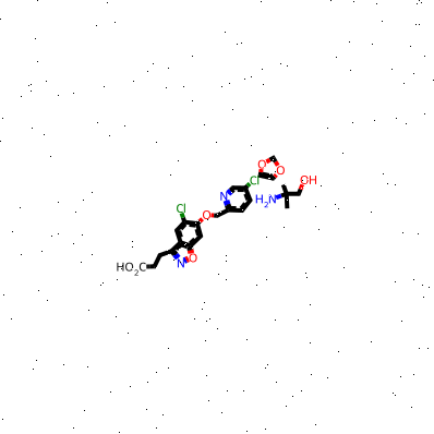 C1=COCO1.CC(C)(N)CO.O=C(O)CCc1noc2cc(OCc3ccc(Cl)cn3)c(Cl)cc12